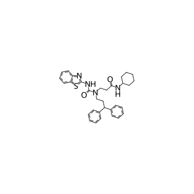 O=C(CCN(CCC(c1ccccc1)c1ccccc1)C(=O)Nc1nc2ccccc2s1)NC1CCCCC1